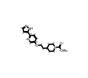 CC(C)COC(=O)N1CCC(CCOc2ccc(-c3ccn[nH]3)nc2)CC1